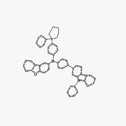 c1ccc(-n2c3ccccc3c3ccc(-c4ccc(N(c5ccc(C6(c7ccccc7)CCCCC6)cc5)c5ccc6oc7ccccc7c6c5)cc4)cc32)cc1